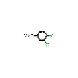 [CH2]Oc1ccc(Cl)c(Cl)c1